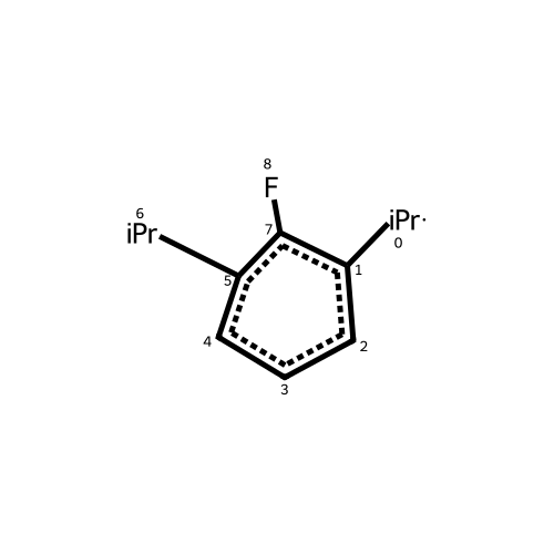 C[C](C)c1cccc(C(C)C)c1F